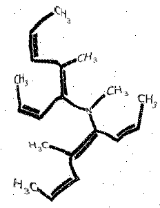 C\C=C/C(C)=C(\C=C/C)N(C)C(/C=C\C)=C(C)/C=C\C